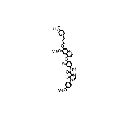 COc1ccc(-n2ccnc(C(=O)Nc3ccc(Oc4ccnc5cc(OCCCN6CCC(C)CC6)c(OC)cc45)c(F)c3)c2=O)cc1